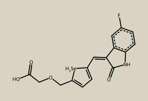 O=C(O)COCC1=CC=C(/C=C2\C(=O)Nc3ccc(F)cc32)[SeH2]1